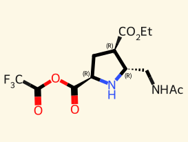 CCOC(=O)[C@@H]1C[C@H](C(=O)OC(=O)C(F)(F)F)N[C@H]1CNC(C)=O